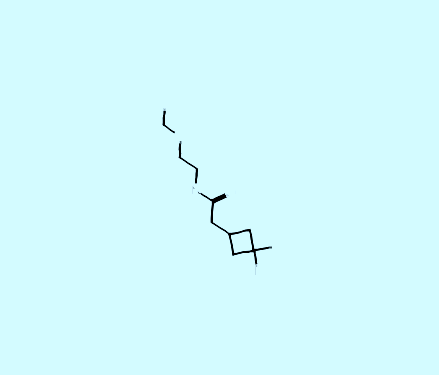 CCOC[CH]NC(=O)CC1CC(F)(F)C1